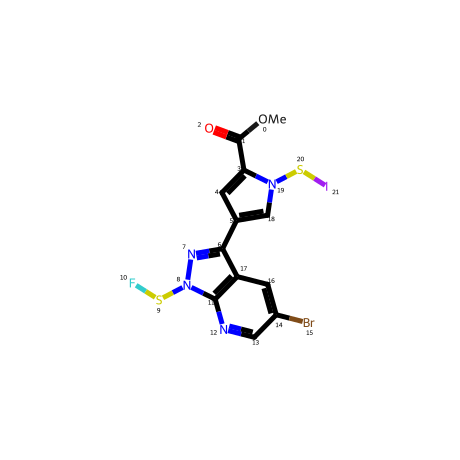 COC(=O)c1cc(-c2nn(SF)c3ncc(Br)cc23)cn1SI